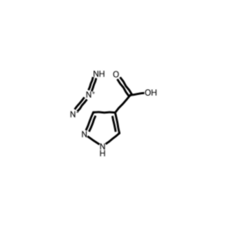 O=C(O)c1cn[nH]c1.[N-]=[N+]=N